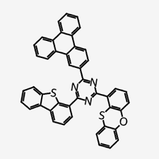 c1ccc2c(c1)Oc1cccc(-c3nc(-c4ccc5c6ccccc6c6ccccc6c5c4)nc(-c4cccc5c4sc4ccccc45)n3)c1S2